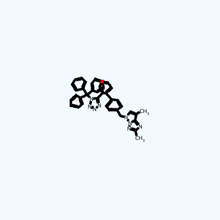 Cc1nc2c(C)cn(Cc3ccc(-c4ccccc4-c4nnnn4C(c4ccccc4)(c4ccccc4)c4ccccc4)cc3)n2n1